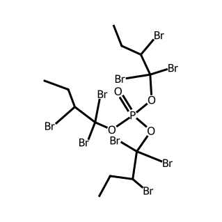 CCC(Br)C(Br)(Br)OP(=O)(OC(Br)(Br)C(Br)CC)OC(Br)(Br)C(Br)CC